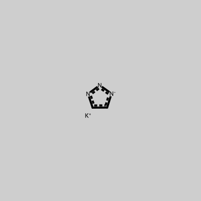 [K+].c1c[n-]nn1